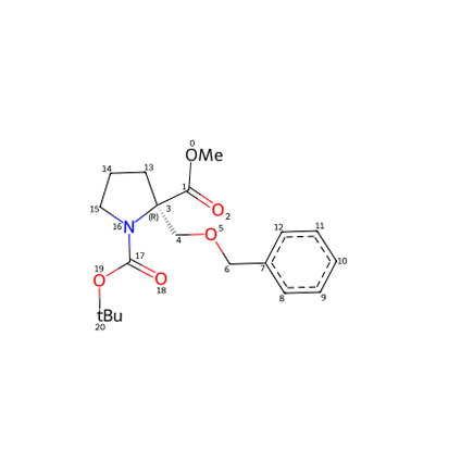 COC(=O)[C@]1(COCc2ccccc2)CCCN1C(=O)OC(C)(C)C